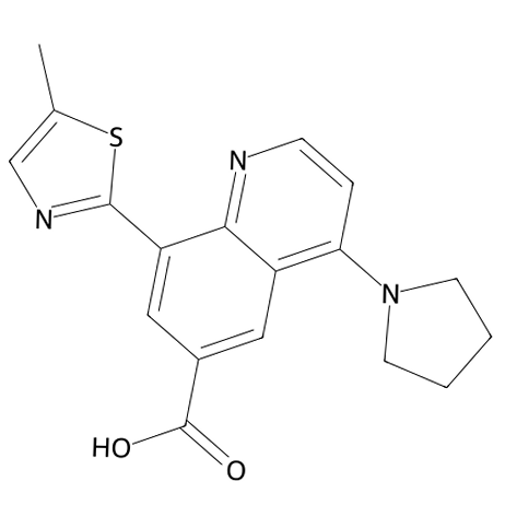 Cc1cnc(-c2cc(C(=O)O)cc3c(N4CCCC4)ccnc23)s1